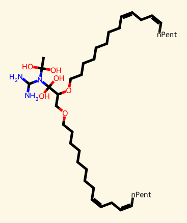 CCCCC/C=C\C/C=C\CCCCCCCCOCC(OCCCCCCCC/C=C\C/C=C\CCCCC)C(O)(O)N(C(N)N)C(C)(O)O